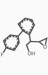 OCC(c1ccccc1-c1ccc(F)cc1)C1CO1